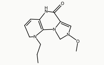 CCCN1CC=CC2=C1N1CN(OC)C=C1C(=O)N2